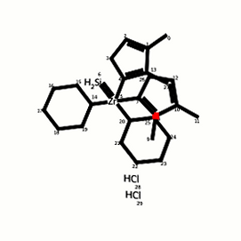 CC1=CC[C]([Zr](=[SiH2])([C]2=C(C)C(C)=CC2)([CH]2CCCCC2)[CH]2CCCCC2)=C1C.Cl.Cl